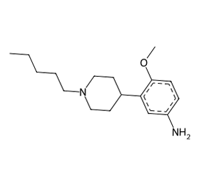 CCCCCN1CCC(c2cc(N)ccc2OC)CC1